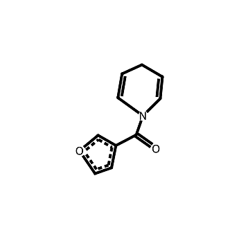 O=C(c1ccoc1)N1C=CCC=C1